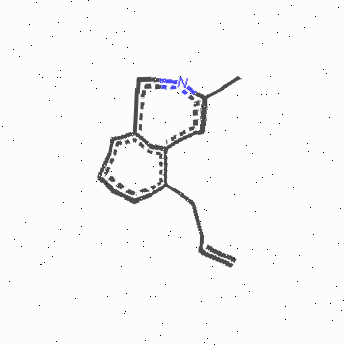 C=CCc1cccc2cnc(C)cc12